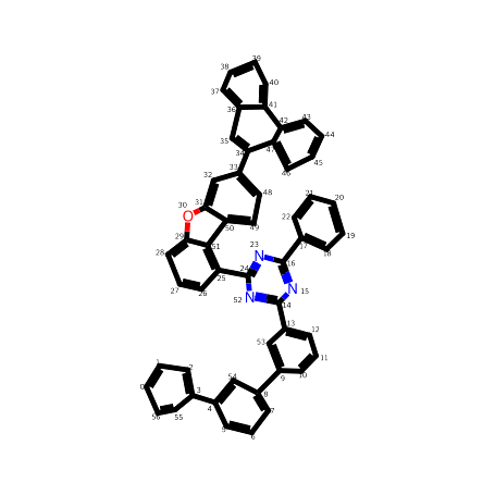 c1ccc(-c2cccc(-c3cccc(-c4nc(-c5ccccc5)nc(-c5cccc6oc7cc(-c8cc9ccccc9c9ccccc89)ccc7c56)n4)c3)c2)cc1